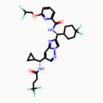 O=C(CCC(F)(F)F)N[C@@H](c1cnn2cc([C@@H](NC(=O)c3cccc(OCC(F)F)n3)C3CCC(F)(F)CC3)nc2c1)C1CC1